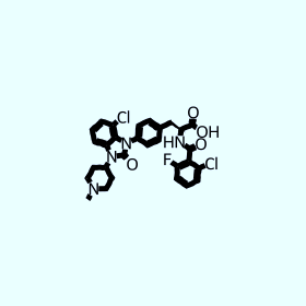 CN1CCC(n2c(=O)n(-c3ccc(C[C@H](NC(=O)c4c(F)cccc4Cl)C(=O)O)cc3)c3c(Cl)cccc32)CC1